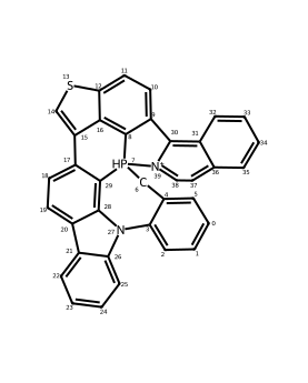 c1ccc2c(c1)C[PH]13c4c(ccc5scc(c45)-c4ccc5c6ccccc6n-2c5c41)-c1c2ccccc2cc[n+]13